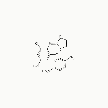 Cc1ccc(S(=O)(=O)O)cc1.Nc1cc(Cl)c(N=C2NCCN2)c(Cl)c1